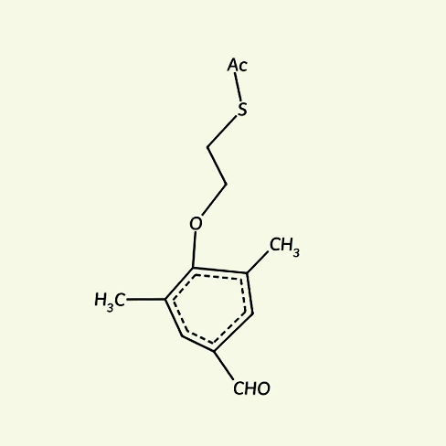 CC(=O)SCCOc1c(C)cc(C=O)cc1C